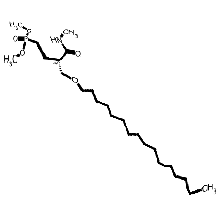 CCCCCCCCCCCCCCCCOC[C@H](CCP(=O)(OC)OC)C(=O)NC